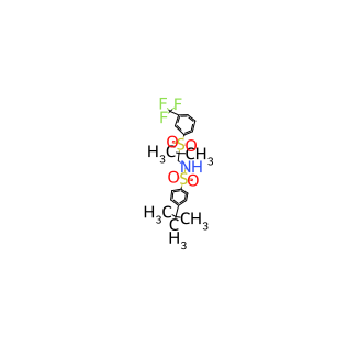 CC(C)(C)c1ccc(S(=O)(=O)NCC(C)(C)S(=O)(=O)c2cccc(C(F)(F)F)c2)cc1